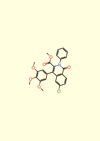 COC(=O)c1c(-c2cc(OC)c(OC)c(OC)c2)c2cc(Cl)ccc2c(=O)n1-c1ccccc1